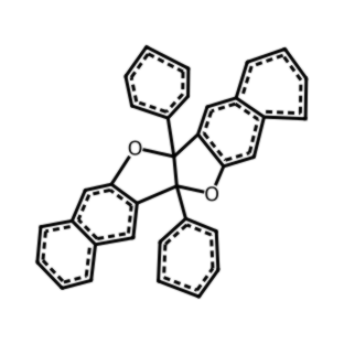 c1ccc(C23Oc4cc5ccccc5cc4C2(c2ccccc2)Oc2cc4ccccc4cc23)cc1